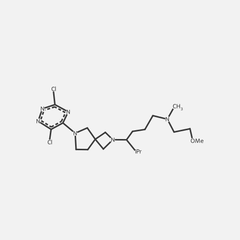 COCCN(C)CCCC(C(C)C)N1CC2(CCN(c3nc(Cl)nnc3Cl)C2)C1